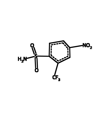 NS(=O)(=O)c1ccc([N+](=O)[O-])cc1C(F)(F)F